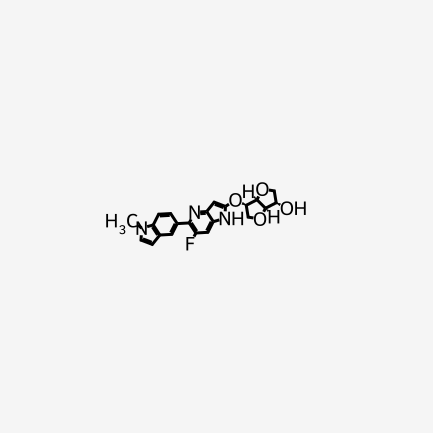 Cn1ccc2cc(-c3nc4cc(O[C@@H]5CO[C@H]6[C@@H]5OC[C@H]6O)[nH]c4cc3F)ccc21